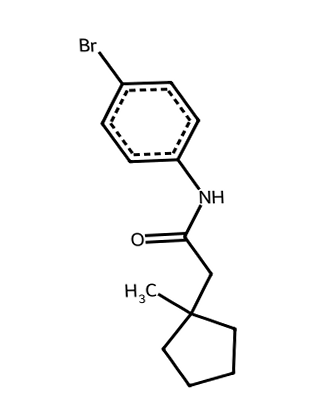 CC1(CC(=O)Nc2ccc(Br)cc2)CCCC1